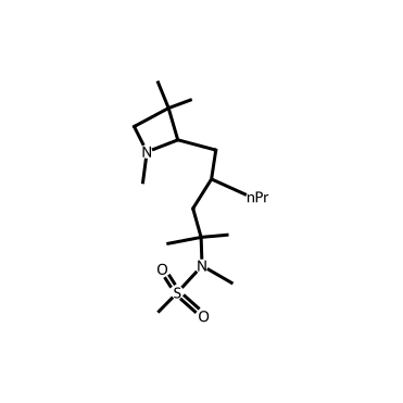 CCCC(CC1N(C)CC1(C)C)CC(C)(C)N(C)S(C)(=O)=O